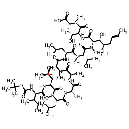 C/C=C/C[C@@H](C)[C@@H](O)[C@@H](C(=O)N[C@H](C(=O)N(C)CC(=O)O)[C@@H](C)O)N(C)C(=O)[C@H](C(C)C)N(C)C(=O)[C@H](CC(C)C)NC(=O)[C@H](CC(C)C)N(C)C(=O)[C@@H](C)NC(=O)[C@H](C)NC(=O)[C@H](CC(C)C)N(C)C(=O)[C@H](CC(C)C)NC(=O)[C@H](NC(=O)OC(C)(C)C)C(C)CC